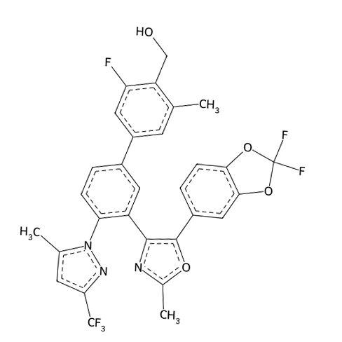 Cc1nc(-c2cc(-c3cc(C)c(CO)c(F)c3)ccc2-n2nc(C(F)(F)F)cc2C)c(-c2ccc3c(c2)OC(F)(F)O3)o1